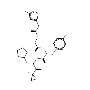 COc1ccc(C[C@H](NC(=O)[C@@H](C)NC(=O)Cc2cc(C)no2)C(=O)N[C@@H](CC2CCCC2)C(=O)[C@@]2(C)CO2)cc1